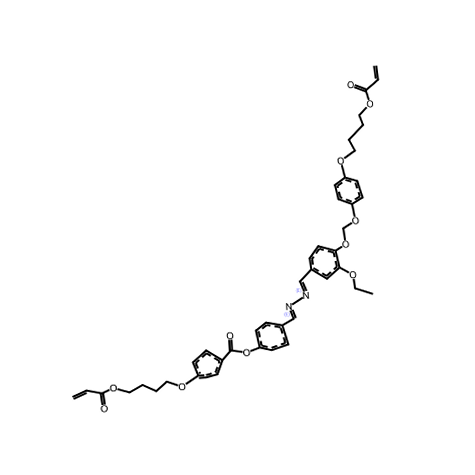 C=CC(=O)OCCCCOc1ccc(OCOc2ccc(/C=N/N=C/c3ccc(OC(=O)c4ccc(OCCCCOC(=O)C=C)cc4)cc3)cc2OCC)cc1